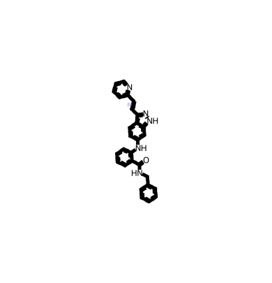 O=C(NCc1ccccc1)c1ccccc1Nc1ccc2c(/C=C/c3ccccn3)n[nH]c2c1